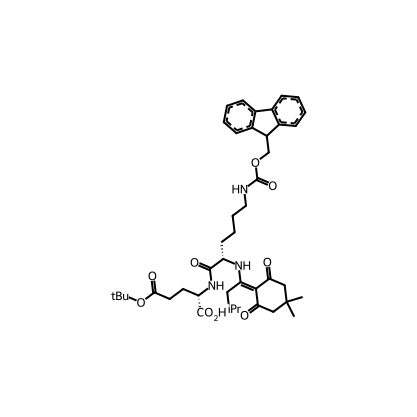 CC(C)CC(N[C@@H](CCCCNC(=O)OCC1c2ccccc2-c2ccccc21)C(=O)N[C@@H](CCC(=O)OC(C)(C)C)C(=O)O)=C1C(=O)CC(C)(C)CC1=O